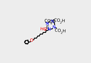 O=C(O)CN1CCN(CC(=O)O)CCN(CC(O)CCCCCCCCCOCc2ccccc2)CCN(CC(=O)O)CC1